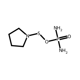 NP(N)(=O)OSN1CCCC1